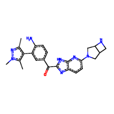 Cc1nn(C)c(C)c1-c1cc(C(=O)c2nc3ccc(N4CC5CNC5C4)nc3[nH]2)ccc1N